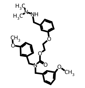 COc1cccc(CN(Cc2cccc(OC)c2)C(=O)OCCOc2cccc(CNN(C)C)c2)c1